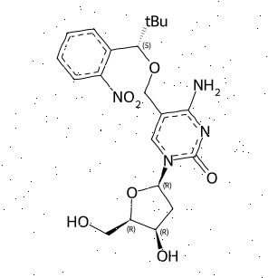 CC(C)(C)[C@H](OCc1cn([C@H]2C[C@@H](O)[C@@H](CO)O2)c(=O)nc1N)c1ccccc1[N+](=O)[O-]